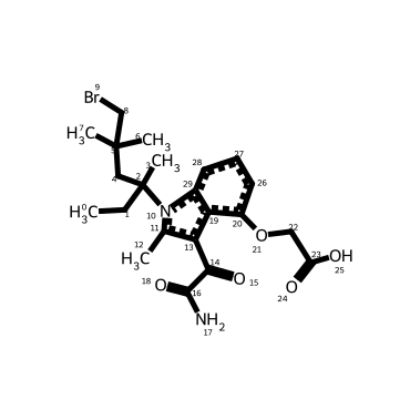 CCC(C)(CC(C)(C)CBr)n1c(C)c(C(=O)C(N)=O)c2c(OCC(=O)O)cccc21